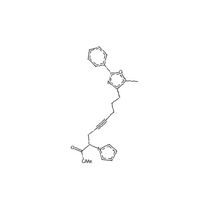 COC(=O)C(CC#CCCCc1nc(-c2ccccc2)oc1C)n1cccc1